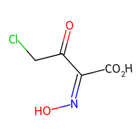 O=C(O)C(=NO)C(=O)CCl